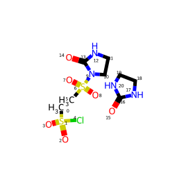 CS(=O)(=O)Cl.CS(=O)(=O)N1CCNC1=O.O=C1NCCN1